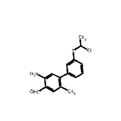 Cc1cc([C]=O)c([N+](=O)[O-])cc1-c1cccc(SC(C)Cl)c1